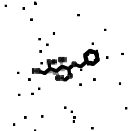 COC(OCc1ccccc1)[C@@H](O)[C@H](O)[C@H]([SeH])CO